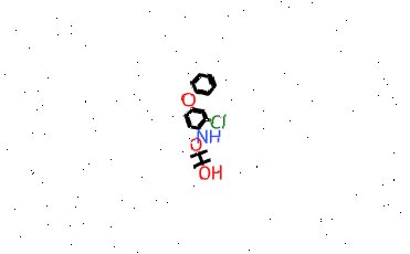 CC(C)(O)C(C)(C)ONc1ccc(Oc2ccccc2)cc1Cl